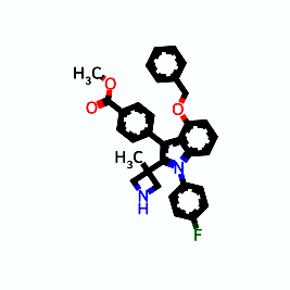 COC(=O)c1ccc(-c2c(C3(C)CNC3)n(-c3ccc(F)cc3)c3cccc(OCc4ccccc4)c23)cc1